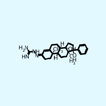 C[C@]12CC[C@H]3[C@@H](CCC4=CC(=NNC(=N)N)CC[C@@]43C)[C@@]1(O)CC[C@]2(O)c1ccccc1